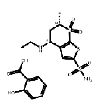 CCN[C@H]1C[C@H](C)S(=O)(=O)c2sc(S(N)(=O)=O)cc21.O=C(O)c1ccccc1O